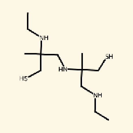 CCNCC(C)(CS)NCC(C)(CS)NCC